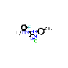 Cc1cccc(F)c1NCc1cnc(Cl)nc1NC1CCCC(C)CC1